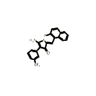 NC1=C(c2cccc(C(F)(F)F)c2)C(=O)C(=Cc2c(F)ccc3ccccc23)S1